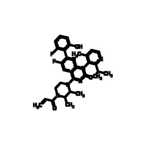 C=CC(=O)N1CCN(c2nc(=O)n(-c3c(C)ccnc3C(C)C)c3nc(-c4c(O)cccc4F)c(F)cc23)C(C)C1C